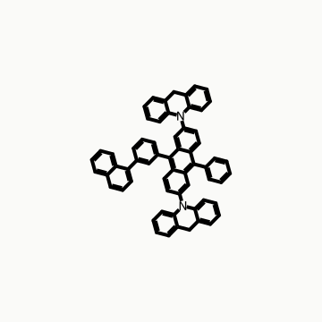 c1ccc(-c2c3ccc(N4c5ccccc5Cc5ccccc54)cc3c(-c3cccc(-c4cccc5ccccc45)c3)c3ccc(N4c5ccccc5Cc5ccccc54)cc23)cc1